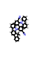 CC1(C)c2ccccc2-c2ccc3c4ccccc4n(-c4cc(C#N)ccc4-c4cccc(C#N)c4-n4c5ccccc5c5ccccc54)c3c21